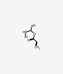 C=CC(=O)OC(CCC)NC(C)C